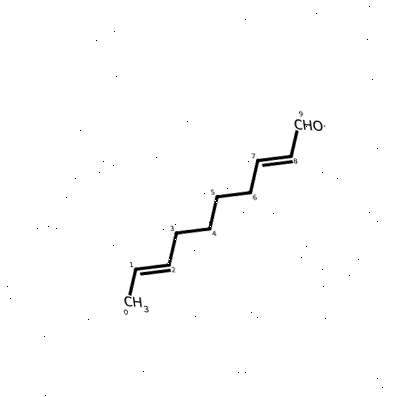 C/C=C/CCCC/C=C/[C]=O